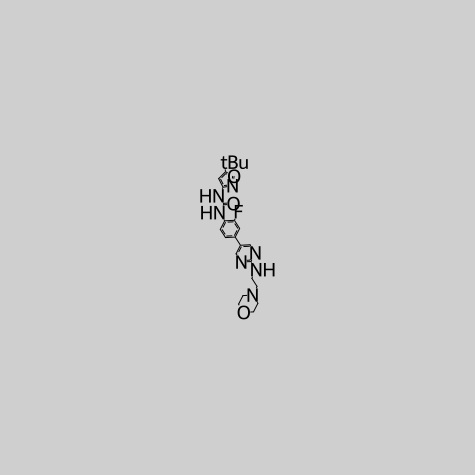 CC(C)(C)c1cc(NC(=O)Nc2ccc(-c3cnc(NCCN4CCOCC4)nc3)cc2F)no1